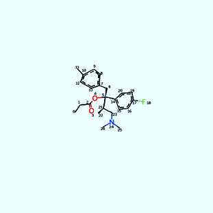 CCC(=O)O[C@](Cc1ccc(C)cc1)(c1ccc(F)cc1)[C@H](C)CN(C)C